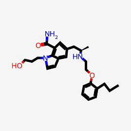 CCCc1ccccc1OCCN[C@H](C)Cc1cc(C(N)=O)c2c(ccn2CCCO)c1